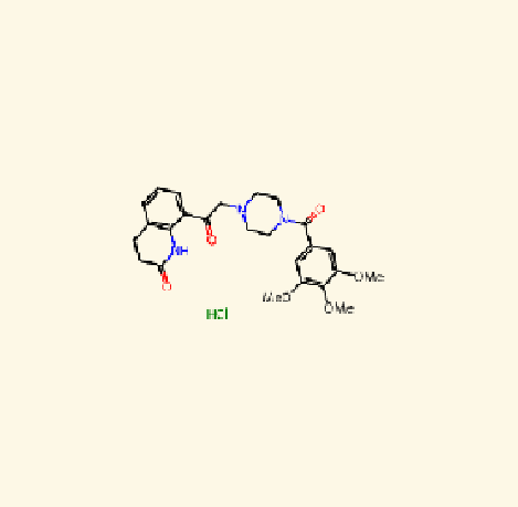 COc1cc(C(=O)N2CCN(CC(=O)c3cccc4c3NC(=O)CC4)CC2)cc(OC)c1OC.Cl